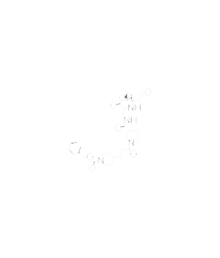 COCCC(=O)NC(CNC(=O)[C@@H]1CCCN(C(=O)CCC2CCN(C(=O)OCc3ccccc3)CC2)C1)C(=O)O